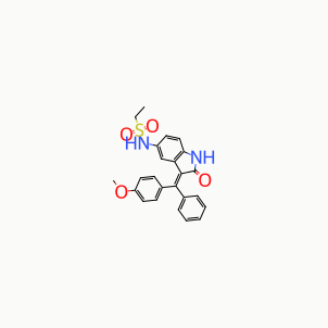 CCS(=O)(=O)Nc1ccc2c(c1)C(=C(c1ccccc1)c1ccc(OC)cc1)C(=O)N2